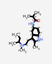 CCC(C)N(C)CCc1c(C)[nH]c2ccc(NC(=O)C(C)C)cc12